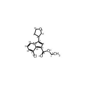 CCOC(=O)c1cc(C2CCOC2)n2cccc(Cl)c12